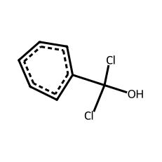 OC(Cl)(Cl)c1ccccc1